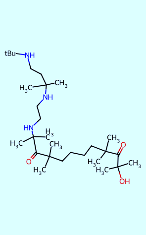 CC(C)(C)NCCC(C)(C)NCCNC(C)(C)C(=O)C(C)(C)CCCCC(C)(C)C(=O)C(C)(C)O